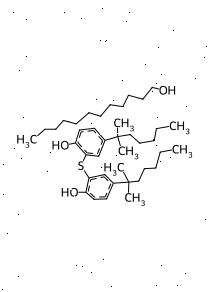 CCCCCC(C)(C)c1ccc(O)c(Sc2cc(C(C)(C)CCCCC)ccc2O)c1.CCCCCCCCCCCCO